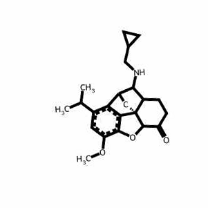 COc1cc(C(C)C)c2c3c1OC1C(=O)CCC4C(NCC5CC5)C2C[C@@]314